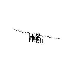 CCCCCCCCCCCCCCOCCCCCCCCCCCCCC.O.O=P(O)(O)O